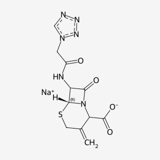 C=C1CS[C@@H]2C(NC(=O)Cn3cnnn3)C(=O)N2C1C(=O)[O-].[Na+]